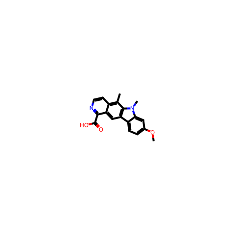 COc1ccc2c3cc4c(C(=O)O)nccc4c(C)c3n(C)c2c1